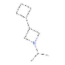 CC(C)N1CC(C2CCC2)C1